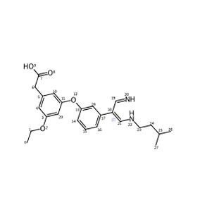 CCOc1cc(CC(=O)O)cc(Oc2cccc(/C(C=N)=C/NCCC(C)C)c2)c1